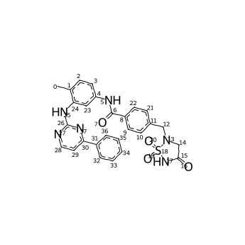 Cc1ccc(NC(=O)c2ccc(CN3CC(=O)NS3(=O)=O)cc2)cc1Nc1nccc(-c2ccccc2)n1